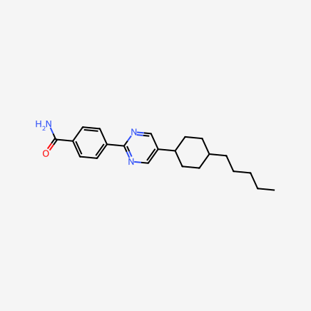 CCCCCC1CCC(c2cnc(-c3ccc(C(N)=O)cc3)nc2)CC1